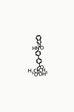 CC(C)(CC(=O)c1ccc(-c2ccc(NC(=O)N3Cc4ccccc4C3)cc2)cc1)C(=O)O